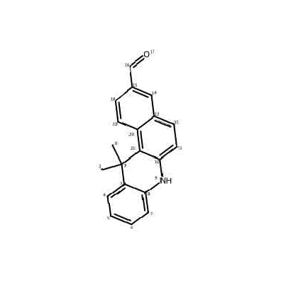 CC1(C)c2ccccc2Nc2ccc3cc(C=O)ccc3c21